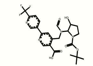 CC(C)(C)OC(=O)N1CCC(O)C1N(C=O)Cc1cc(-c2ccc(C(F)(F)F)nc2)ncc1C(=O)O